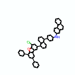 Clc1cc(-c2cccc3c(-c4ccc(Nc5ccc6c(ccc7ccccc76)c5)cc4)cccc23)cc2c1oc1c(-c3ccccc3)cc(-c3ccccc3)cc12